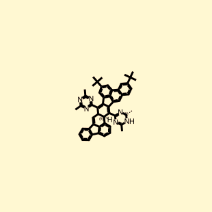 CC1=NC(C2=C3C(=C(c4nc(C)nc(C)n4)C4C=C5c6ccccc6-c6cccc(c65)[C@H]24)c2cc(C(C)(C)C)cc4c2c3cc2ccc(C(C)(C)C)cc24)=N[C@H](C)N1